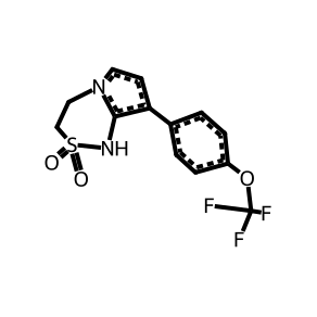 O=S1(=O)CCn2ccc(-c3ccc(OC(F)(F)F)cc3)c2N1